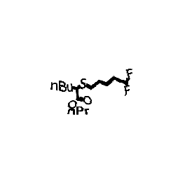 CCCCC(SCCCCC(F)F)C(=O)OCCC